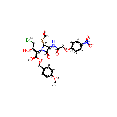 COc1ccc(COC(=O)C(=C(O)CBr)N2C(=O)C(NC(=O)COc3ccc([N+](=O)[O-])cc3)C2SC=O)cc1